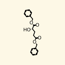 O=C(CC[C@H](O)C(=O)OCc1ccccc1)OCc1ccccc1